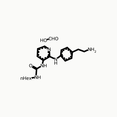 CCCCCCNC(=O)Nc1cccnc1Nc1ccc(CCN)cc1.O=CO